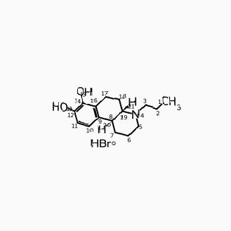 Br.CCCN1CCC[C@H]2c3ccc(O)c(O)c3CC[C@@H]21